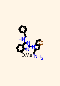 COc1cccc2c(NCc3ccccc3)nc(-n3c(CN)cc4sccc43)nc12